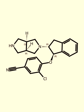 N#Cc1ccc(O[C@@H]2c3ccccc3C[C@H]2N2C[C@H]3CNC[C@H]3C2)c(Cl)c1